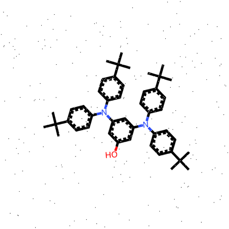 CC(C)(C)c1ccc(N(c2ccc(C(C)(C)C)cc2)c2cc(O)cc(N(c3ccc(C(C)(C)C)cc3)c3ccc(C(C)(C)C)cc3)c2)cc1